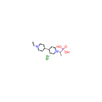 C=C[n+]1ccc(-c2cc[n+](C(C)P(=O)(O)O)cc2)cc1.[Br-].[Br-]